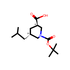 CC(C)C[C@@H]1C[C@@H](C(=O)O)CN(C(=O)OC(C)(C)C)C1